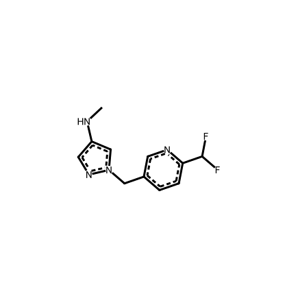 CNc1cnn(Cc2ccc(C(F)F)nc2)c1